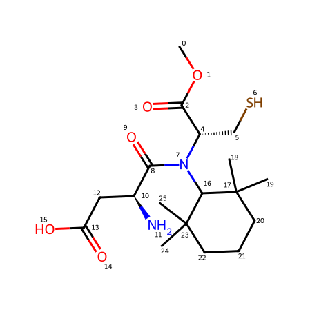 COC(=O)[C@H](CS)N(C(=O)[C@@H](N)CC(=O)O)C1C(C)(C)CCCC1(C)C